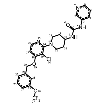 O=C(Nc1cccnc1)NC1CCN(c2nccc(OCc3cccc(OC(F)(F)F)c3)c2Cl)CC1